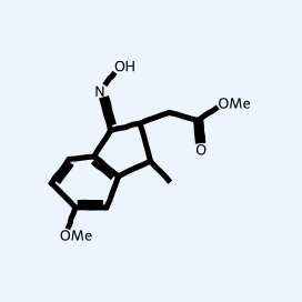 COC(=O)CC1C(=NO)c2ccc(OC)cc2C1C